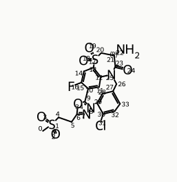 CS(=O)(=O)CCc1nnc(-c2cc3c(cc2F)S(=O)(=O)C[C@H](N)C(=O)N3Cc2ccc(Cl)cc2)o1